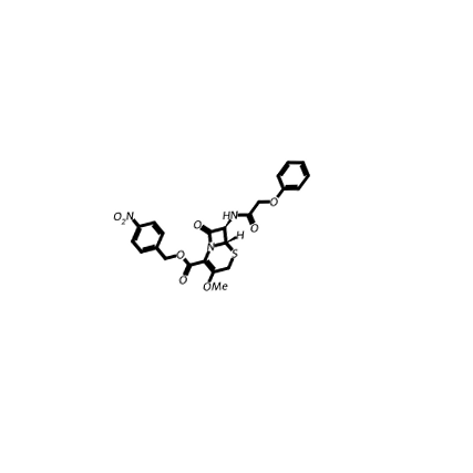 COC1=C(C(=O)OCc2ccc([N+](=O)[O-])cc2)N2C(=O)[C@@H](NC(=O)COc3ccccc3)[C@@H]2SC1